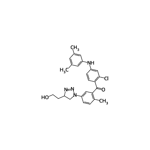 Cc1cc(C)cc(Nc2ccc(C(=O)c3cc(N4CC(CCO)N=N4)ccc3C)c(Cl)c2)c1